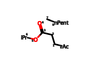 CC(=O)CCC(=O)OC(C)C.CCCCCC